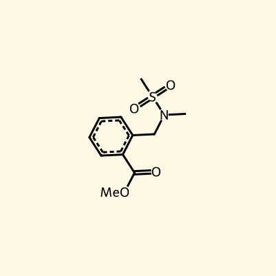 COC(=O)c1ccccc1CN(C)S(C)(=O)=O